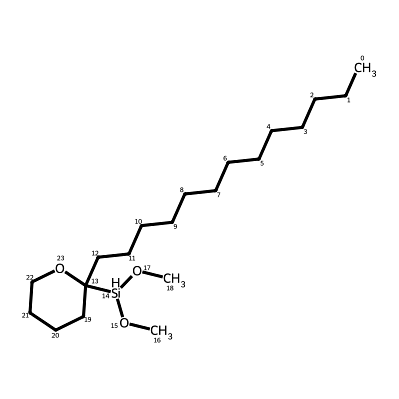 CCCCCCCCCCCCCC1([SiH](OC)OC)CCCCO1